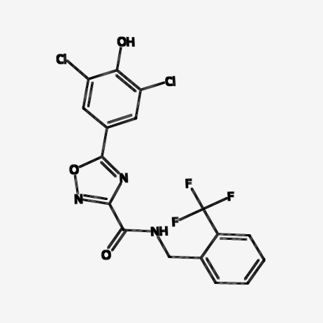 O=C(NCc1ccccc1C(F)(F)F)c1noc(-c2cc(Cl)c(O)c(Cl)c2)n1